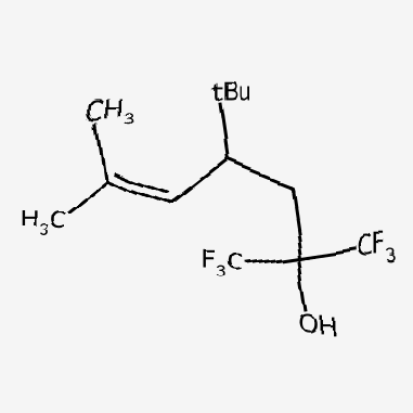 CC(C)=CC(CC(O)(C(F)(F)F)C(F)(F)F)C(C)(C)C